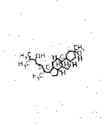 CC(C)C(O)CC[C@@H](C)[C@H]1CC[C@H]2[C@@H]3CC[C@@H]4C[C@@](C)(O)CC[C@]4(C)[C@H]3CC[C@]12C